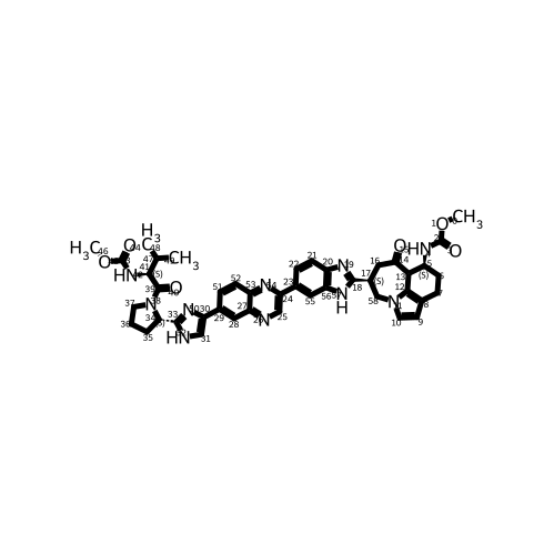 COC(=O)N[C@H]1CCc2ccn3c2C1C(=O)C[C@H](c1nc2ccc(-c4cnc5cc(-c6c[nH]c([C@@H]7CCCN7C(=O)[C@@H](NC(=O)OC)C(C)C)n6)ccc5n4)cc2[nH]1)C3